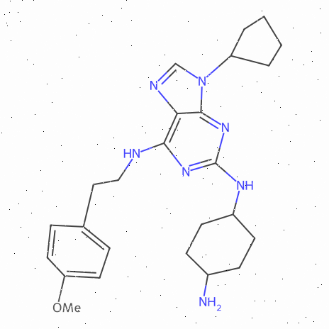 COc1ccc(CCNc2nc(NC3CCC(N)CC3)nc3c2ncn3C2CCCC2)cc1